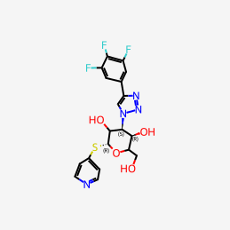 OCC1O[C@H](Sc2ccncc2)C(O)[C@@H](n2cc(-c3cc(F)c(F)c(F)c3)nn2)[C@H]1O